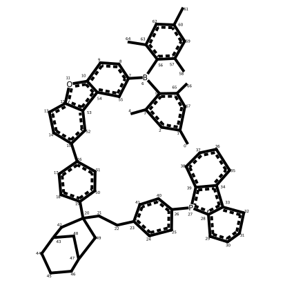 Cc1cc(C)c(B(c2ccc3oc4ccc(-c5ccc(C6(CCc7ccc(-p8c9ccccc9c9ccccc98)cc7)CC7CCCC(C7)C6)cc5)cc4c3c2)c2c(C)cc(C)cc2C)c(C)c1